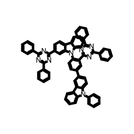 c1ccc(-c2nc(-c3ccccc3)nc(-c3ccc4c5ccccc5n(-c5ccc(-c6ccc7c(c6)c6ccccc6n7-c6ccccc6)cc5-c5nc(-c6ccccc6)nc(-c6ccccc6)n5)c4c3)n2)cc1